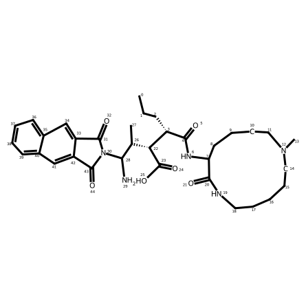 CCC[C@H](C(=O)NC1CCCCN(C)CCCCCNC1=O)[C@H](C(=O)O)C(C)C(N)N1C(=O)c2cc3ccccc3cc2C1=O